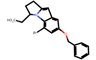 CC(C)c1cc(OCc2ccccc2)cc2cc3n(c12)C(CC(=O)O)CC3